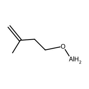 C=C(C)CC[O][AlH2]